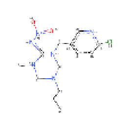 CCCN1CN(C)C(=N[N+](=O)[O-])N(Cc2ccc(Cl)nc2)C1